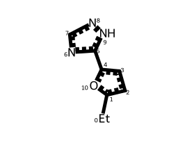 CCc1ccc(-c2ncn[nH]2)o1